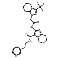 O=C(Cn1nc(C(F)(F)F)c2c1CCCC2)Nc1sc2c(c1C(=O)NCCc1cccnc1)CCCC2